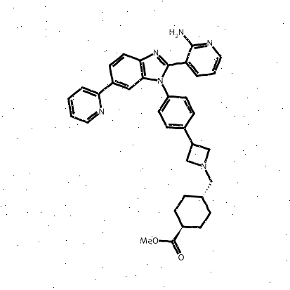 COC(=O)[C@H]1CC[C@H](CN2CC(c3ccc(-n4c(-c5cccnc5N)nc5ccc(-c6ccccn6)cc54)cc3)C2)CC1